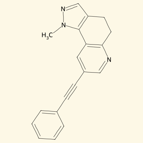 Cn1ncc2c1-c1cc(C#Cc3ccccc3)cnc1CC2